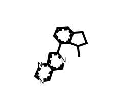 CC1CCc2cccc(-c3cc4ncncc4cn3)c21